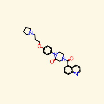 O=C(c1cccc2ncccc12)N1CCN(c2ccc(OCCCN3CCCC3)cc2)C(=O)C1